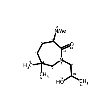 CNC1CCC(C)(C)CN(CC(C)O)C1=O